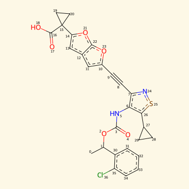 CC(OC(=O)Nc1c(C#Cc2cc3cc(C4(C(=O)O)CC4)oc3o2)nsc1C1CC1)c1ccccc1Cl